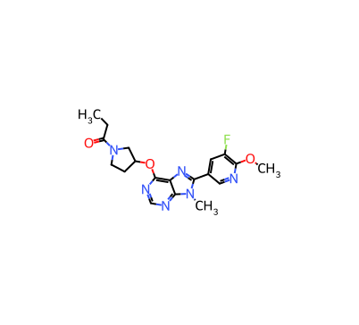 CCC(=O)N1CCC(Oc2ncnc3c2nc(-c2cnc(OC)c(F)c2)n3C)C1